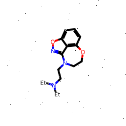 CCN(CC)CCN1CCOc2cccc3onc1c23